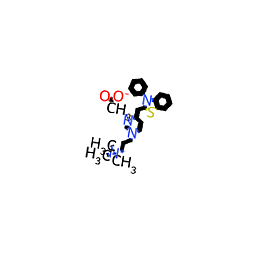 CC(=O)[O-].C[N+](C)(C)CCCN1C=CC(=CC2Sc3ccccc3N2c2ccccc2)N=C1